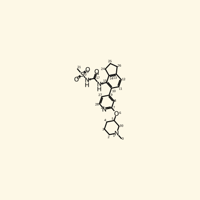 CN1CCCC(Oc2cc(-c3ccc4c(c3NC(=O)NS(C)(=O)=O)CCC4)ccn2)C1